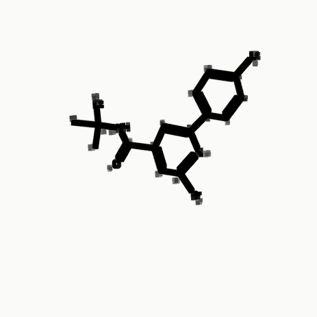 CCc1ccc(-c2cc(C(=O)NC(C)(C)CC)cc(Br)n2)cc1